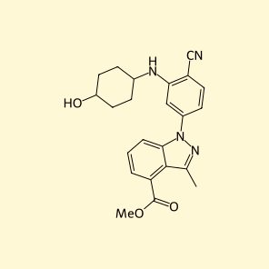 COC(=O)c1cccc2c1c(C)nn2-c1ccc(C#N)c(NC2CCC(O)CC2)c1